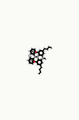 CCCCc1cc(C#N)c2c(c1)N(C)c1cc(CCCC)cc(C#N)c1N2B1c2ccccc2Oc2ccccc21